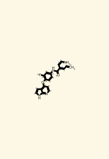 C=C/C=C(\C=C/N)C(=O)Nc1ccc(Oc2ccnc3[nH]ccc23)c(F)c1